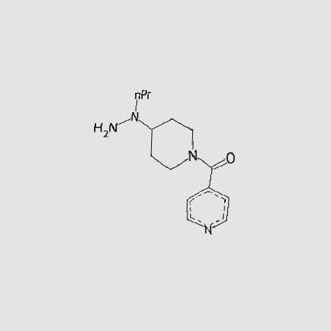 CCCN(N)C1CCN(C(=O)c2ccncc2)CC1